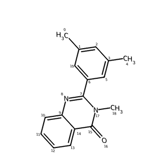 Cc1cc(C)cc(-c2nc3ccccc3c(=O)n2C)c1